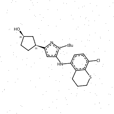 CC(C)(C)n1nc([C@H]2CC[C@@H](O)C2)cc1Nc1ccc(Cl)c2c1CCCS2